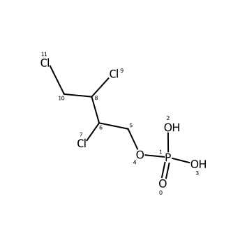 O=P(O)(O)OCC(Cl)C(Cl)CCl